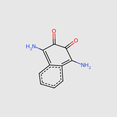 NC1=c2ccccc2=C(N)C(=O)C1=O